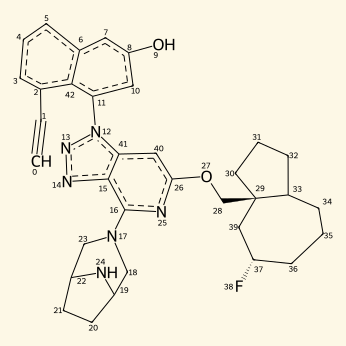 C#Cc1cccc2cc(O)cc(-n3nnc4c(N5CC6CCC(C5)N6)nc(OC[C@@]56CCCC5CCC[C@H](F)C6)cc43)c12